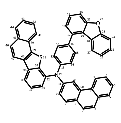 c1ccc2c(c1)ccc1ccc(N(c3ccc(-c4cccc5oc6ccccc6c45)cc3)c3cccc4c3sc3c5ccccc5ccc43)cc12